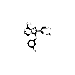 C=C/C(=C\C)c1nc2c(C)nccn2c1Nc1cccc(Cl)c1